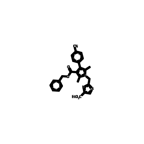 CCOC(=O)c1csc(Cn2c(C)c(C(=O)OCc3ccccc3)c(-c3ccc(C#N)cc3)c2C)n1